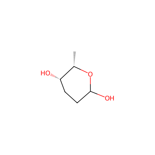 C[C@@H]1OC(O)CC[C@@H]1O